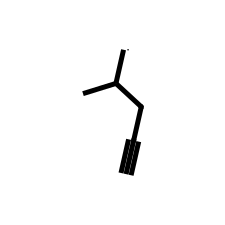 [C]#CCC([CH2])C